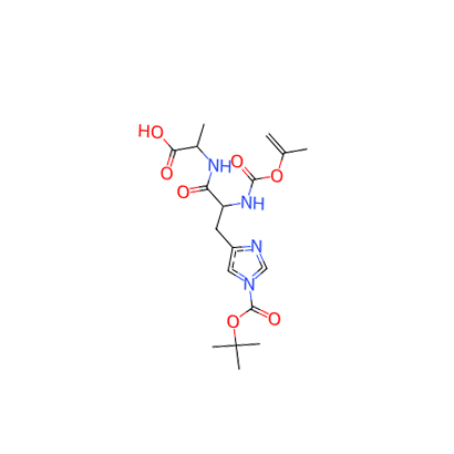 C=C(C)OC(=O)NC(Cc1cn(C(=O)OC(C)(C)C)cn1)C(=O)NC(C)C(=O)O